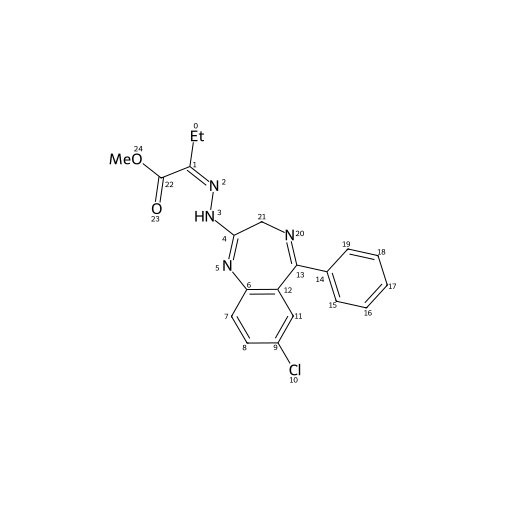 CC/C(=N/NC1=Nc2ccc(Cl)cc2C(c2ccccc2)=NC1)C(=O)OC